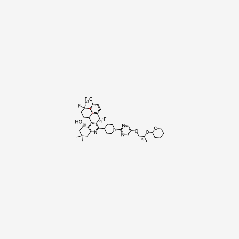 C[C@@H](COc1cnc(N2CCC(c3nc4c(c(C5CCC(F)(F)CC5)c3[C@@H](F)c3ccc(C(F)(F)F)cc3)[C@@H](O)CC(C)(C)C4)CC2)nc1)OC1CCCCO1